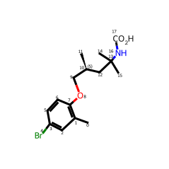 Cc1cc(Br)ccc1OC[C@@H](C)CC(C)(C)NC(=O)O